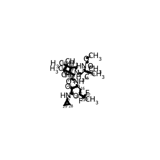 COC(=O)N[C@H](CN1C[C@H]2[C@@H]([C@H]1C(=O)N[C@@H](CCC(C)(F)F)C(=O)C(=O)NC1CC1)C(C)(C)C2(C)C)C(C)(C)C